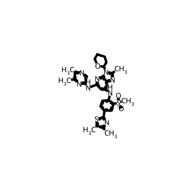 Cc1ncc(Nc2cc(Nc3ccc(-c4nc(C)c(C)s4)cc3S(C)(=O)=O)c3nc(C)n(C4CCCCO4)c3n2)nc1C